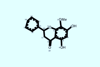 COc1c(O)cc(O)c2c1OC(c1ccccc1)CC2=O